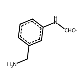 NCc1cccc(N[C]=O)c1